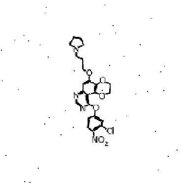 O=[N+]([O-])c1ccc(Oc2ncnc3cc(OCCCN4CCCC4)c4c(c23)OCCO4)cc1Cl